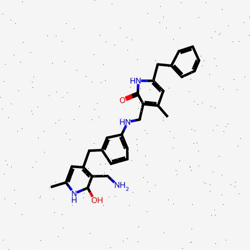 CC1=CC(Cc2cccc(NCc3c(C)cc(Cc4ccccc4)[nH]c3=O)c2)=C(CN)C(O)N1